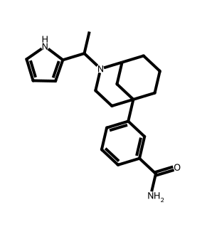 CC(c1ccc[nH]1)N1CCC2(c3cccc(C(N)=O)c3)CCCC1C2